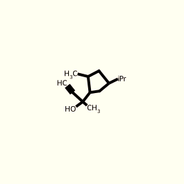 C#CC(C)(O)C1CC(C(C)C)CC1C